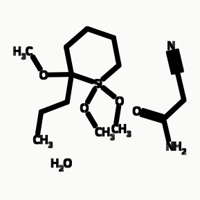 CCCC1(OC)CCCC[Si]1(OC)OC.N#CCC(N)=O.O